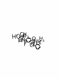 Cc1cccc(Cl)c1NS(=O)(=O)c1ccc(NC(=O)[C@@](C)(O)C(F)(F)F)c(F)c1